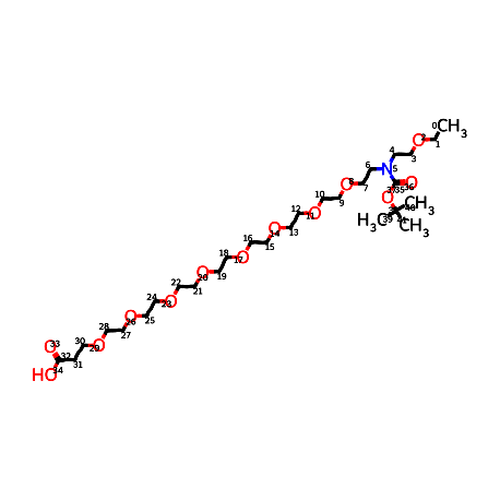 CCOCCN(CCOCCOCCOCCOCCOCCOCCOCCOCCC(=O)O)C(=O)OC(C)(C)C